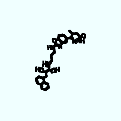 CC1CC(=O)NN=C1c1ccc2oc(NCCCNC(O)C(O)Cc3cccc4ccccc34)nc2c1